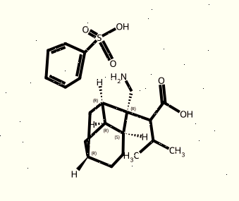 CC(C)C(C(=O)O)[C@]1(CN)[C@@H]2C[C@@H]3CC[C@H]1[C@H]2C3.O=S(=O)(O)c1ccccc1